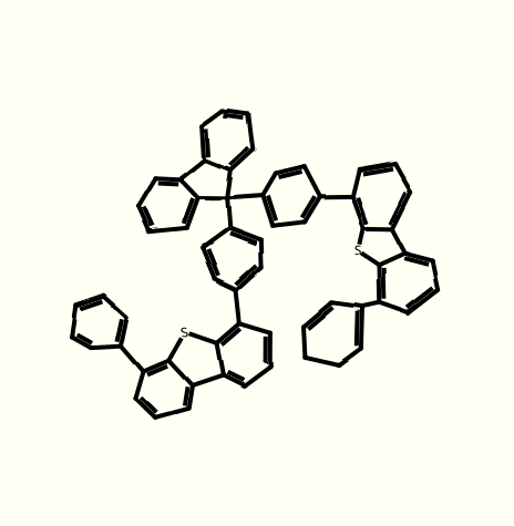 C1=CC(c2cccc3c2sc2c(-c4ccc(C5(c6ccc(-c7cccc8c7sc7c(-c9ccccc9)cccc78)cc6)c6ccccc6-c6ccccc65)cc4)cccc23)=CCC1